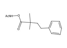 CC(=O)NOC(=O)C(C)(C)CCc1ccccc1